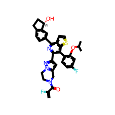 C=C(F)C(=O)N1CCn2nc(-c3nc(-c4ccc5c(c4)[C@@H](O)CC5)c4ccsc4c3-c3ccc(F)cc3OC(C)C)cc2C1